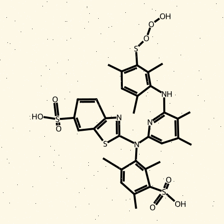 Cc1cc(N(c2nc3ccc(S(=O)(=O)O)cc3s2)c2c(C)cc(C)c(S(=O)(=O)O)c2C)nc(Nc2c(C)cc(C)c(SOOO)c2C)c1C